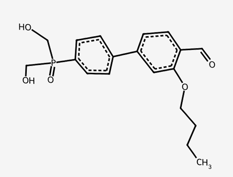 CCCCOc1cc(-c2ccc(P(=O)(CO)CO)cc2)ccc1C=O